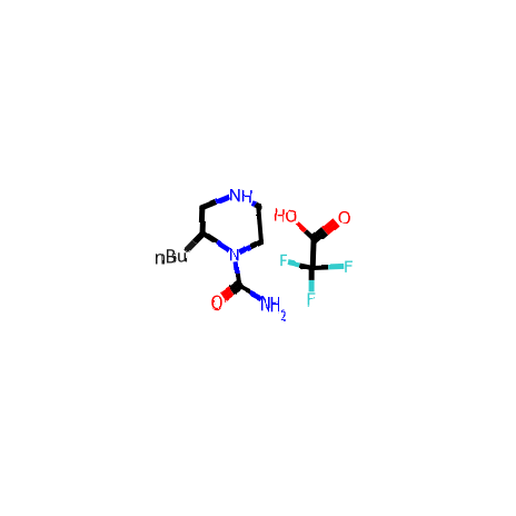 CCCCC1CNCCN1C(N)=O.O=C(O)C(F)(F)F